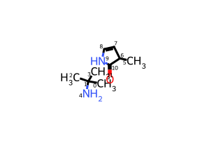 CC(C)(C)N.CC1C=CNC1=O